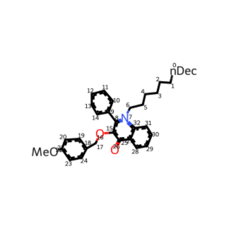 CCCCCCCCCCCCCCCCn1c(-c2ccccc2)c(OCc2ccc(OC)cc2)c(=O)c2ccccc21